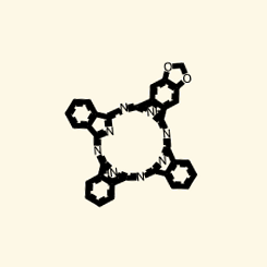 c1ccc2c(c1)-c1nc-2nc2[nH]c(nc3nc(nc4[nH]c(n1)c1ccccc41)-c1ccccc1-3)c1cc3c(cc21)OCO3